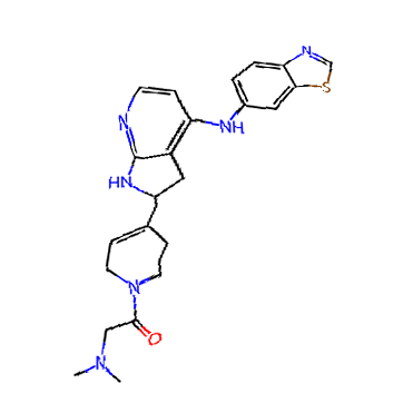 CN(C)CC(=O)N1CC=C(C2Cc3c(Nc4ccc5ncsc5c4)ccnc3N2)CC1